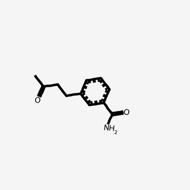 CC(=O)CCc1cccc(C(N)=O)c1